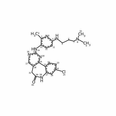 Cc1nc(NCCCN(C)C)ccc1Nc1ncc2c(n1)-c1ccc(Cl)cc1NC(=O)C2